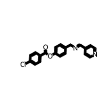 O=C(Oc1ccc(CN=Cc2ccncc2)cc1)c1ccc(Cl)cc1